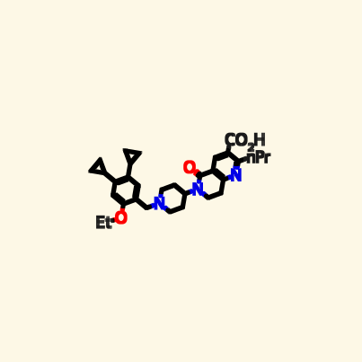 CCCc1nc2c(cc1C(=O)O)C(=O)N(C1CCN(Cc3cc(C4CC4)c(C4CC4)cc3OCC)CC1)CC2